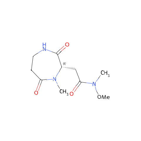 CON(C)C(=O)C[C@H]1C(=O)NCCC(=O)N1C